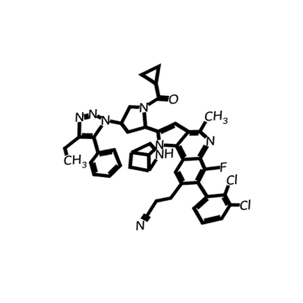 CCc1nnn(C2CC(c3cc4c(C)nc5c(F)c(-c6cccc(Cl)c6Cl)c(CCC#N)cc5c4n3C3C4CNC3C4)N(C(=O)C3CC3)C2)c1-c1ccccc1